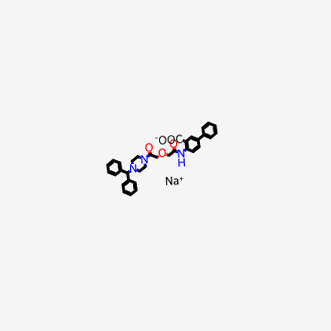 O=C(COCC(=O)N1CCN(C(c2ccccc2)c2ccccc2)CC1)Nc1ccc(-c2ccccc2)cc1C(=O)[O-].[Na+]